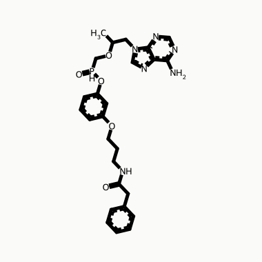 CC(Cn1cnc2c(N)ncnc21)OC[PH](=O)Oc1cccc(OCCCNC(=O)Cc2ccccc2)c1